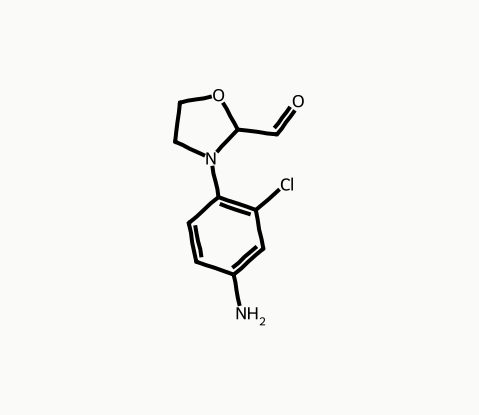 Nc1ccc(N2CCOC2C=O)c(Cl)c1